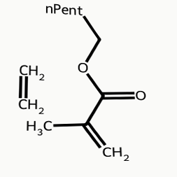 C=C.C=C(C)C(=O)OCCCCCC